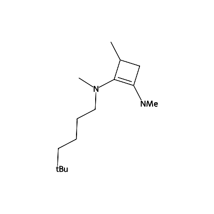 CNC1=C(N(C)CCCCC(C)(C)C)C(C)C1